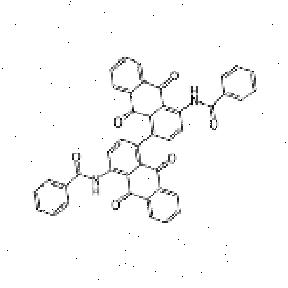 O=C(Nc1ccc(-c2ccc(NC(=O)c3ccccc3)c3c2C(=O)c2ccccc2C3=O)c2c1C(=O)c1ccccc1C2=O)c1ccccc1